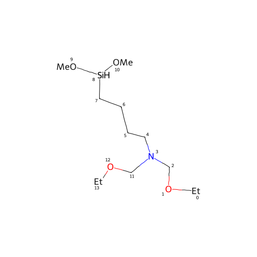 CCOCN(CCCC[SiH](OC)OC)COCC